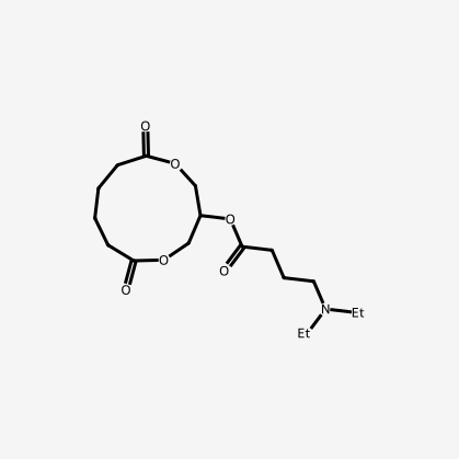 CCN(CC)CCCC(=O)OC1COC(=O)CCCCC(=O)OC1